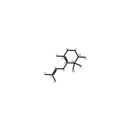 CC(C)=CCC1=C(C)CCC(C)C1(C)C